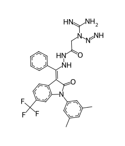 Cc1cc(C)cc(N2C(=O)/C(=C(\NNC(=O)CN(N=N)C(=N)N)c3ccccc3)c3ccc(C(F)(F)F)cc32)c1